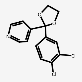 Clc1ccc(C2(c3ccncc3)OCCO2)cc1Cl